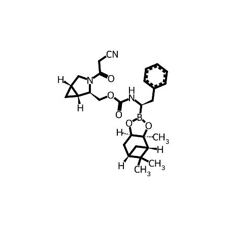 CC1(C)[C@@H]2C[C@H]3OB([C@H](Cc4ccccc4)NC(=O)OC[C@H]4[C@@H]5C[C@@H]5CN4C(=O)CC#N)O[C@@]3(C)[C@H]1C2